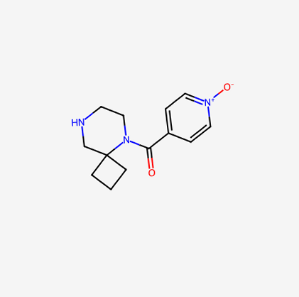 O=C(c1cc[n+]([O-])cc1)N1CCNCC12CCC2